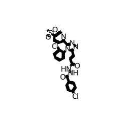 CS(=O)(=O)c1ccc(-c2nnc(C=CC(=O)NNC(=O)c3ccc(Cl)cc3)n2-c2ccccc2Cl)nc1